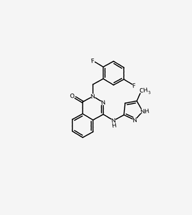 Cc1cc(Nc2nn(Cc3cc(F)ccc3F)c(=O)c3ccccc23)n[nH]1